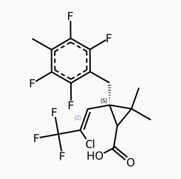 Cc1c(F)c(F)c(C[C@@]2(/C=C(\Cl)C(F)(F)F)C(C(=O)O)C2(C)C)c(F)c1F